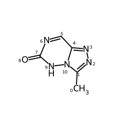 Cc1nnc2cnc(=O)[nH]n12